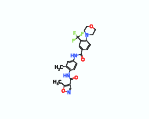 Cc1cc(NC(=O)c2ccc(N3CCOCC3)c(C(F)(F)F)c2)ccc1NC(=O)c1cnoc1C